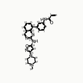 C=CC(=O)Nc1cccc(-c2cccc3cnc(Nc4cc(N5CCN(C)CC5)no4)nc23)c1